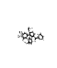 CCCOc1ccc(C(=O)c2ccccc2)c(-n2ccc(C(C)C)n2)c1-c1nc(CC)c(CC)c(=O)[nH]1